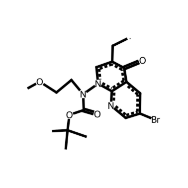 [CH2]Cc1cn(N(CCOC)C(=O)OC(C)(C)C)c2ncc(Br)cc2c1=O